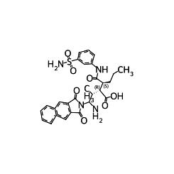 CCC[C@H](C(=O)Nc1cccc(S(N)(=O)=O)c1)[C@H](C(=O)O)C(C)C(N)N1C(=O)c2cc3ccccc3cc2C1=O